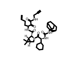 C#CCNC(=O)C(=O)C(CCC=C)NC(=O)[C@@H]1[C@@H]2[C@H](CN1C(=O)[C@@H](NC(=O)NC13CC4CC(CC(C4)C1)C3)C1CCCCC1)C2(C)C